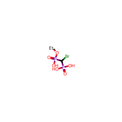 CCOP(=O)(O)C(Br)P(=O)(O)O